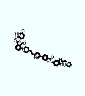 C[C@H]1CCCN1Cc1nc2cc(NC(=O)c3ccc(-c4ccc(CCC5CCN(c6cccc7c6C(=O)N(C6CCC(=O)NC6=O)C7=O)CC5)nc4)cc3)ccc2[nH]1